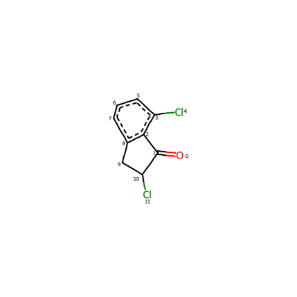 O=C1c2c(Cl)cccc2CC1Cl